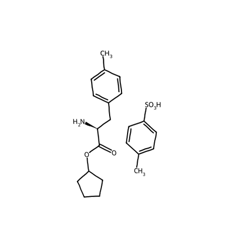 Cc1ccc(C[C@H](N)C(=O)OC2CCCC2)cc1.Cc1ccc(S(=O)(=O)O)cc1